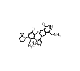 Cn1ncc(-c2ccc3c(=O)[nH]nc(CN)c3c2)c1-c1c(F)c(Cl)cc(N2CCCC23CC3)c1C#N